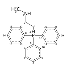 CNCC[PH](c1ccccc1)(c1ccccc1)c1ccccc1